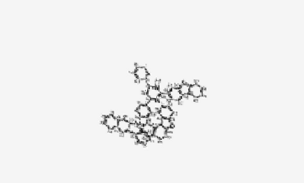 c1ccc(C2N=C(c3ccc(-n4c5ccccc5c5cc6ccccc6cc54)cc3-c3cccc4oc5ccc6ccccc6c5c34)N=C(c3ccc4c(c3)sc3ccccc34)N2)cc1